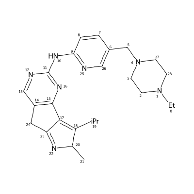 CCN1CCN(Cc2ccc(Nc3ncc4c(n3)C3=C(C(C)C)C(C)N=C3C4)nc2)CC1